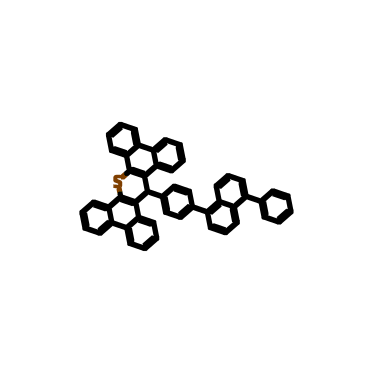 c1ccc(-c2cccc3c(-c4ccc(C5c6c(c7ccccc7c7ccccc67)Sc6c5c5ccccc5c5ccccc65)cc4)cccc23)cc1